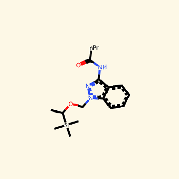 CCCC(=O)Nc1nn(COC(C)[Si](C)(C)C)c2ccccc12